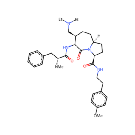 CCN(CC)C[C@H]1CC[C@H]2CC[C@@H](C(=O)NCCc3ccc(OC)cc3)N2C(=O)[C@H]1NC(=O)[C@@H](Cc1ccccc1)NC